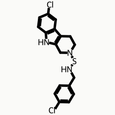 Clc1ccc(CNSN2CCc3c([nH]c4ccc(Cl)cc34)C2)cc1